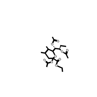 CCOC(=O)C1(OC(C)=O)CC(C)C(C)C([C@H](OC(C)=O)[C@@H](CC)OC(C)=O)O1